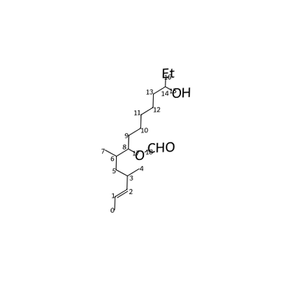 C/C=C/C(C)CC(C)C(CCCCCC(O)CC)OC=O